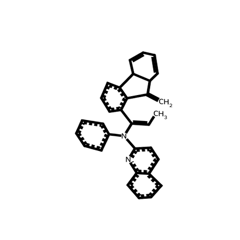 C=C1c2c(/C(=C\C)N(c3ccccc3)c3ccc4ccccc4n3)cccc2C2C=CC=CC12